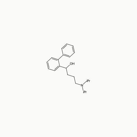 CC(C)N(CCCC(O)c1ccccc1-c1ccccc1)C(C)C